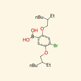 CCCCC(CC)COc1cc(B(O)O)c(OCC(CC)CCCC)cc1Br